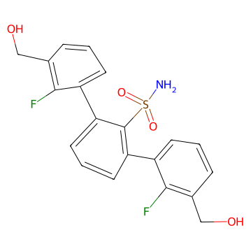 NS(=O)(=O)c1c(-c2cccc(CO)c2F)cccc1-c1cccc(CO)c1F